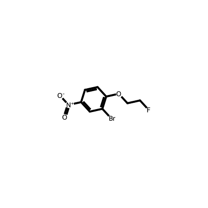 O=[N+]([O-])c1ccc(OCCF)c(Br)c1